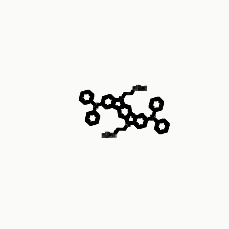 CCCCCCCCCCCCn1c2ccc(N(c3ccccc3)c3ccccc3)cc2c2cc3c(cc21)c1cc(N(c2ccccc2)c2ccccc2)ccc1n3CCCCCCCCCCCC